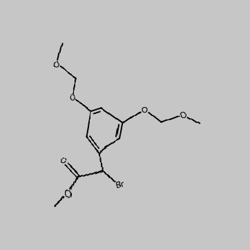 COCOc1cc(OCOC)cc(C(Br)C(=O)OC)c1